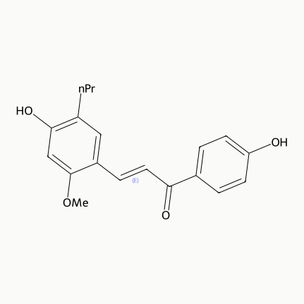 CCCc1cc(/C=C/C(=O)c2ccc(O)cc2)c(OC)cc1O